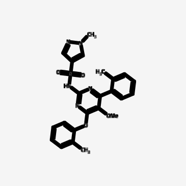 COc1c(Oc2ccccc2C)nc(NS(=O)(=O)c2cnn(C)c2)nc1-c1ccccc1C